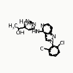 C=C(/C=C(\N=C/N)Nc1nccc2nn(-c3c(Cl)cccc3Cl)cc12)C(C)O